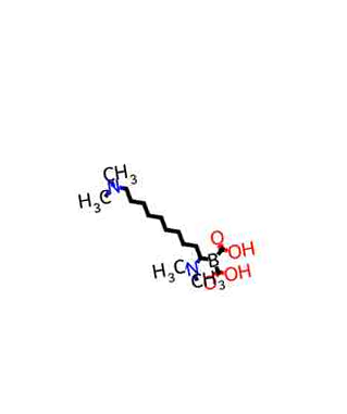 CN(C)CCCCCCCCCC(B(C(=O)O)C(=O)O)N(C)C